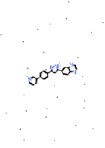 c1cncc(-c2ccc(C3=NNC(c4ccc5nccnc5c4)C3)cc2)c1